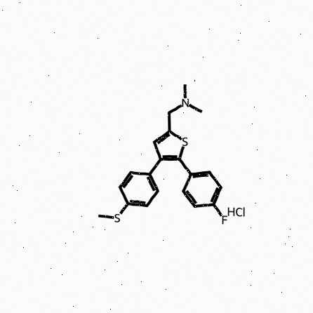 CSc1ccc(-c2cc(CN(C)C)sc2-c2ccc(F)cc2)cc1.Cl